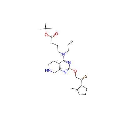 CCCN(CCCC(=O)OC(C)(C)C)c1nc(OCC(=S)[C@@H]2CCCC2C)nc2c1CCNC2